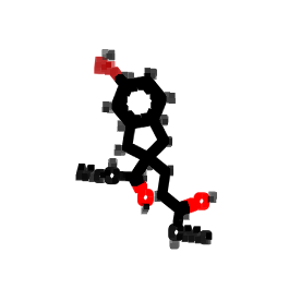 COC(=O)CCC1(C(=O)OC)Cc2ccc(Br)cc2C1